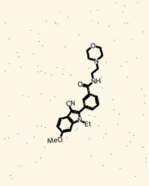 CCn1c(-c2cccc(C(=O)NCCN3CCOCC3)c2)c(C#N)c2ccc(OC)cc21